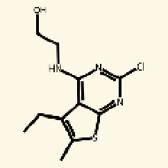 CCc1c(C)sc2nc(Cl)nc(NCCO)c12